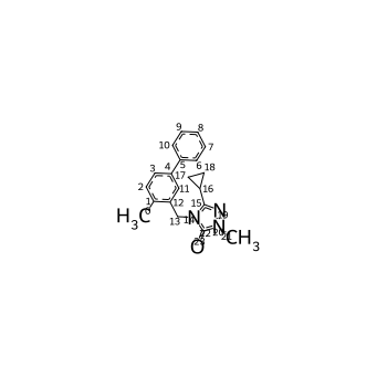 Cc1ccc(-c2ccccc2)cc1Cn1c(C2CC2)nn(C)c1=O